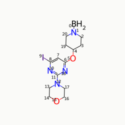 BN1CCC(Oc2cc(I)nc(N3CCOCC3)n2)CC1